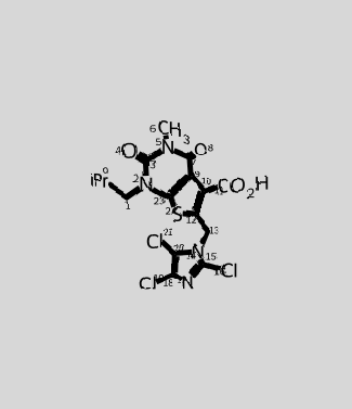 CC(C)Cn1c(=O)n(C)c(=O)c2c(C(=O)O)c(Cn3c(Cl)nc(Cl)c3Cl)sc21